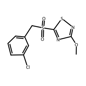 COc1nsc(S(=O)(=O)Cc2cccc(Cl)c2)n1